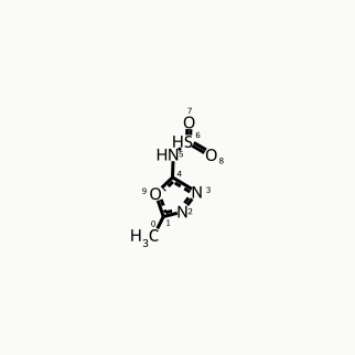 Cc1nnc(N[SH](=O)=O)o1